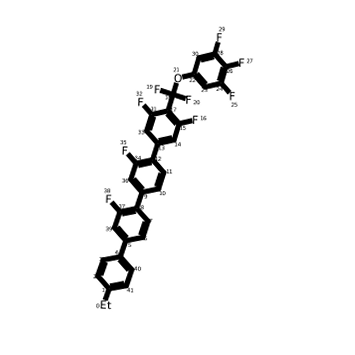 CCc1ccc(-c2ccc(-c3ccc(-c4cc(F)c(C(F)(F)Oc5cc(F)c(F)c(F)c5)c(F)c4)c(F)c3)c(F)c2)cc1